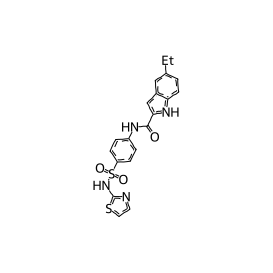 CCc1ccc2[nH]c(C(=O)Nc3ccc(S(=O)(=O)Nc4nccs4)cc3)cc2c1